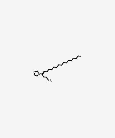 CCCCCCCCCCCCCCCC=C(CCN)N1C=NCC1